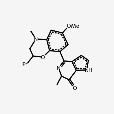 COc1cc(C2=NC(C)C(=O)c3[nH]ccc32)c2c(c1)N(C)CC(C(C)C)O2